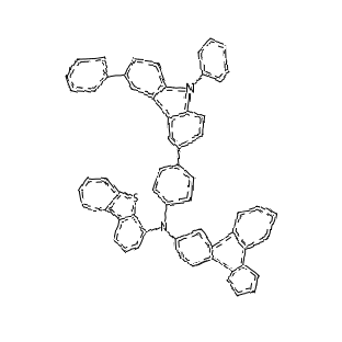 c1ccc(-c2ccc3c(c2)c2cc(-c4ccc(N(c5ccc6c7ccccc7c7ccccc7c6c5)c5cccc6c5sc5ccccc56)cc4)ccc2n3-c2ccccc2)cc1